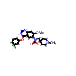 COc1cc2ncnc(Oc3cccc(Cl)c3)c2cc1N1CC2(CCN(C)CC2)OC1=O